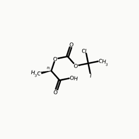 C[C@@H](OC(=O)OC(C)(Cl)I)C(=O)O